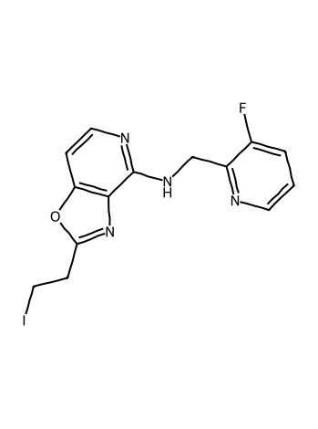 Fc1cccnc1CNc1nccc2oc(CCI)nc12